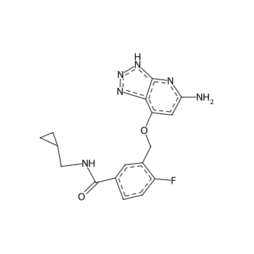 Nc1cc(OCc2cc(C(=O)NCC3CC3)ccc2F)c2nn[nH]c2n1